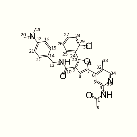 CC(=O)Nc1cc(-c2cc(C(=O)NCc3ccc(N(C)C)cc3)c(-c3ccccc3Cl)o2)c(C)cn1